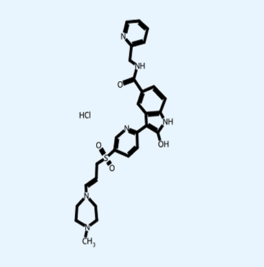 CN1CCN(C=CCS(=O)(=O)c2ccc(-c3c(O)[nH]c4ccc(C(=O)NCc5ccccn5)cc34)nc2)CC1.Cl